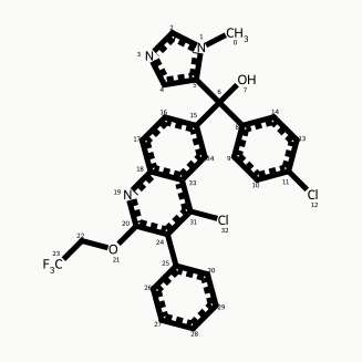 Cn1cncc1C(O)(c1ccc(Cl)cc1)c1ccc2nc(OCC(F)(F)F)c(-c3ccccc3)c(Cl)c2c1